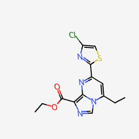 CCOC(=O)c1ncn2c(CC)cc(-c3nc(Cl)cs3)nc12